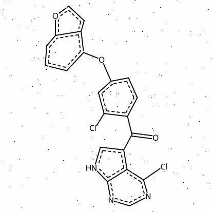 O=C(c1ccc(Oc2cccc3occc23)cc1Cl)c1c[nH]c2ncnc(Cl)c12